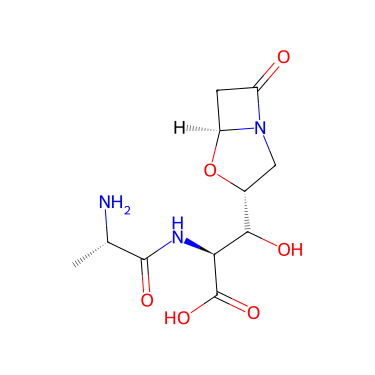 C[C@H](N)C(=O)N[C@H](C(=O)O)C(O)[C@H]1CN2C(=O)C[C@@H]2O1